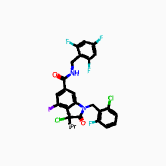 CC(C)C1(Cl)C(=O)N(Cc2c(F)cccc2Cl)c2cc(C(=O)NCc3c(F)cc(F)cc3F)cc(I)c21